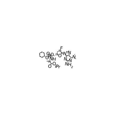 CC(C)OC(=O)[C@@H](C)N[P@](=O)(OC[C@@H]1C[C@H](F)[C@H](n2cnc3c(N(C)C)nc(N)nc32)O1)Oc1ccccc1